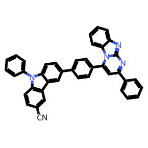 N#Cc1ccc2c(c1)c1cc(-c3ccc(-c4cc(-c5ccccc5)nc5nc6ccccc6n45)cc3)ccc1n2-c1ccccc1